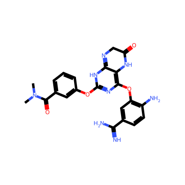 CN(C)C(=O)c1cccc(OC2=NC(Oc3cc(C(=N)N)ccc3N)=C3NC(=O)CN=C3N2)c1